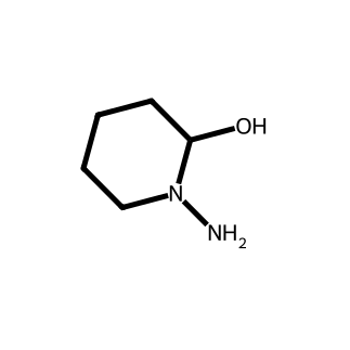 NN1CCCCC1O